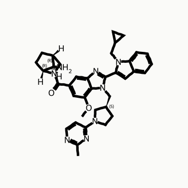 COc1cc(C(=O)N2C[C@H]3CC[C@@H]2[C@@H]3N)cc2nc(-c3cc4ccccc4n3CC3CC3)n(C[C@H]3CCN(c4ccnc(C)n4)C3)c12